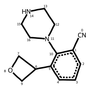 N#Cc1cccc(C2COC2)c1N1CCNCC1